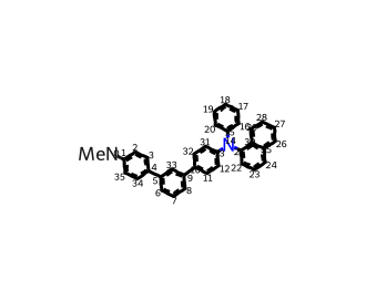 CNc1ccc(-c2cccc(-c3ccc(N(c4ccccc4)c4cccc5ccccc45)cc3)c2)cc1